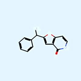 CC(c1ccccc1)c1cc2c(=O)[nH]ccc2o1